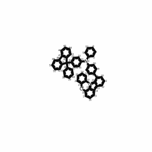 c1ccc(N(c2ccc(-c3cccc4c5cccc6c5n(c34)-c3ccccc3O6)cc2)c2ccc(C3(c4ccccc4)c4ccccc4-c4ccccc43)cc2)cc1